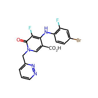 O=C(O)c1cn(Cc2cccnn2)c(=O)c(F)c1Nc1ccc(Br)cc1F